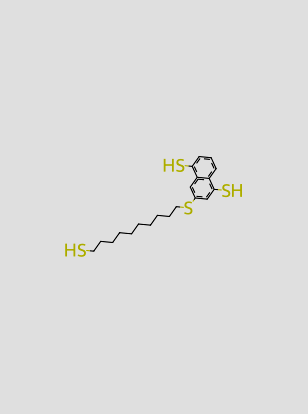 SCCCCCCCCCCSc1cc(S)c2cccc(S)c2c1